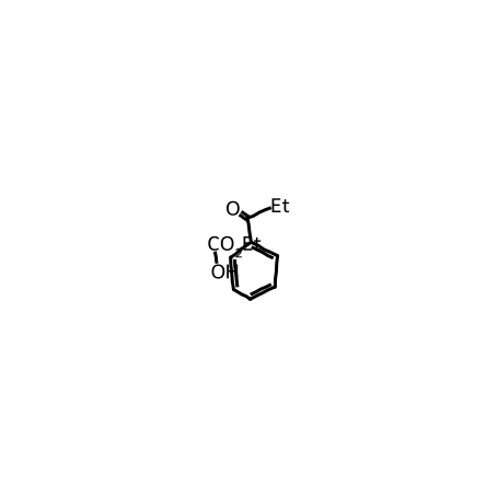 CCC(=O)c1ccccc1.CCOC(=O)O